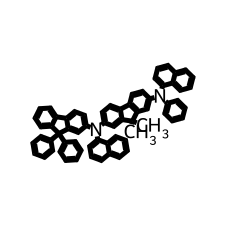 CC1(C)c2cc(N(c3ccccc3)c3cccc4ccccc34)ccc2-c2ccc(N(c3ccc4c(c3)C(c3ccccc3)(c3ccccc3)c3ccccc3-4)c3cccc4ccccc34)cc21